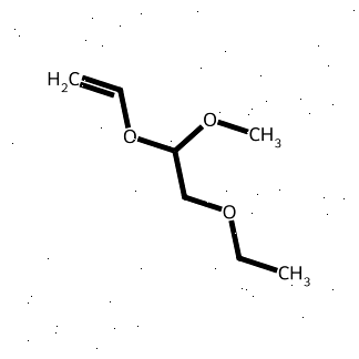 C=COC(COCC)OC